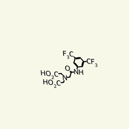 O=C(O)CN(CC(=O)O)CC(=O)Nc1cc(C(F)(F)F)cc(C(F)(F)F)c1